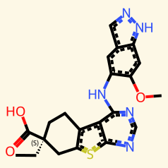 CC[C@]1(C(=O)O)CCc2c(sc3ncnc(Nc4cc5cn[nH]c5cc4OC)c23)C1